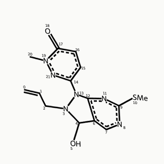 C=CCN1C(O)c2cnc(SC)nc2N1c1ccc(=O)n(C)n1